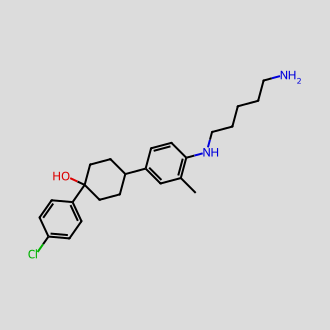 Cc1cc(C2CCC(O)(c3ccc(Cl)cc3)CC2)ccc1NCCCCCN